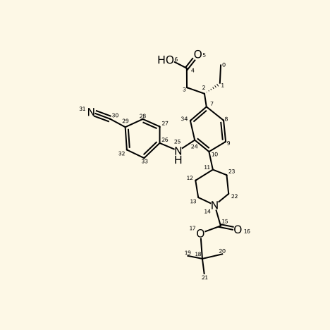 CC[C@@H](CC(=O)O)c1ccc(C2CCN(C(=O)OC(C)(C)C)CC2)c(Nc2ccc(C#N)cc2)c1